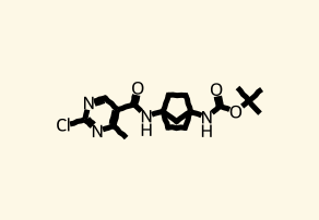 Cc1nc(Cl)ncc1C(=O)NC12CCC(NC(=O)OC(C)(C)C)(CC1)C2